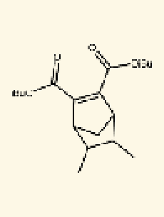 CC(C)COC(=O)C1=C(C(=O)OCC(C)C)C2CC1C(C)C2C